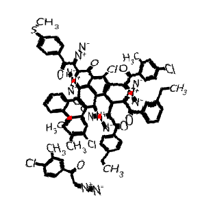 CCc1ccc(C(=O)C(=[N+]=[N-])C(C(=[N+]=[N-])C(=O)c2cccc(CC)c2)c2c(C(=[N+]=[N-])C(=O)c3ccc(Cl)cc3C)c(Cl)c(C(=O)C(=[N+]=[N-])C(=[N+]=[N-])C(=O)c3ccc(SC)cc3)c(C(=[N+]=[N-])C(=O)c3ccccc3CC)c2C(=[N+]=[N-])C(=O)c2ccc(C)c(Cl)c2)cc1.Cc1cc(C(=O)C=[N+]=[N-])ccc1Cl